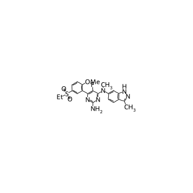 CCS(=O)(=O)c1ccc(OC)c(-c2nc(N)nc(N(C)c3ccc4c(C)n[nH]c4c3)c2F)c1